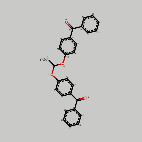 CCCCCCCCC(Oc1ccc(C(=O)c2ccccc2)cc1)Oc1ccc(C(=O)c2ccccc2)cc1